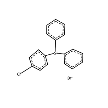 Clc1ccc([S+](c2ccccc2)c2ccccc2)cc1.[Br-]